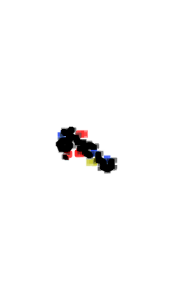 COc1ccc2ncc(C)c([C@@H](O)CCC3(CO)CCN(CC(S)c4ccccn4)CC3)c2c1